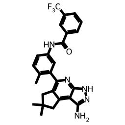 Cc1ccc(NC(=O)c2cccc(C(F)(F)F)c2)cc1-c1nc2[nH]nc(N)c2c2c1CC(C)(C)C2